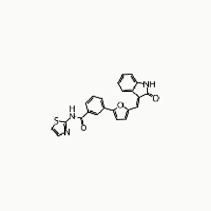 O=C1Nc2ccccc2/C1=C\c1ccc(-c2cccc(C(=O)Nc3nccs3)c2)o1